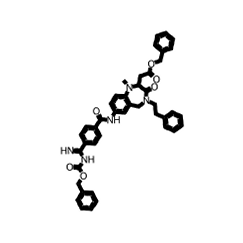 CN1c2ccc(NC(=O)c3ccc(C(=N)NC(=O)OCc4ccccc4)cc3)cc2CN(CCc2ccccc2)C(=O)C1CC(=O)OCc1ccccc1